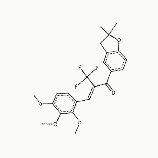 COc1ccc(C=C(C(=O)c2ccc3c(c2)CC(C)(C)O3)C(F)(F)F)c(OC)c1OC